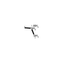 C[SiH2][SiH3].[AlH3]